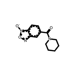 O=C(c1ccc2c(c1)no[n+]2[O-])N1CCCCC1